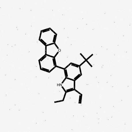 C=Cc1c(CC)[nH]c2c(-c3cccc4c3oc3ccccc34)cc(C(C)(C)C)cc12